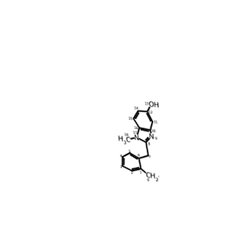 [CH2]c1ccccc1Cc1nc2cc(O)ccc2n1C